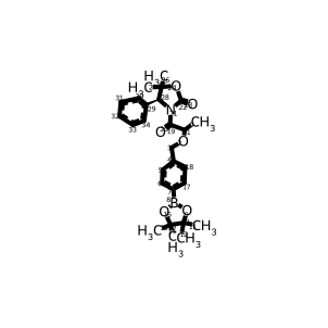 CC(OCc1ccc(B2OC(C)(C)C(C)(C)O2)cc1)C(=O)N1C(=O)OC(C)(C)[C@@H]1c1ccccc1